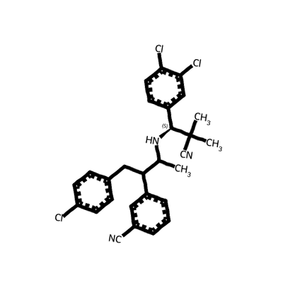 CC(N[C@@H](c1ccc(Cl)c(Cl)c1)C(C)(C)C#N)C(Cc1ccc(Cl)cc1)c1cccc(C#N)c1